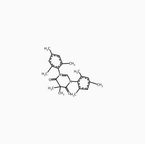 Cc1cc(C)c(N2C=[N+](c3c(C)cc(C)cc3C)C(=O)C(C)(C)C2=O)c(C)c1